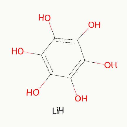 Oc1c(O)c(O)c(O)c(O)c1O.[LiH]